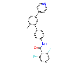 Cc1ccc(-c2ccncc2)cc1-c1ccc(NC(=O)c2c(F)cccc2F)cc1